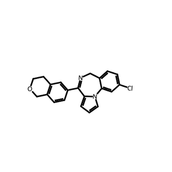 Clc1ccc2c(c1)-n1cccc1C(c1ccc3c(c1)CCOC3)=NC2